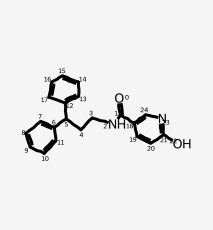 O=C(NCCC(c1ccccc1)c1ccccc1)c1ccc(O)nc1